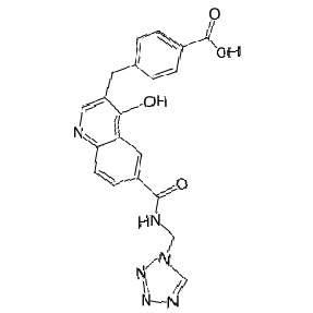 O=C(O)c1ccc(Cc2cnc3ccc(C(=O)NCn4cnnn4)cc3c2O)cc1